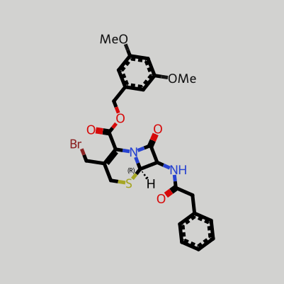 COc1cc(COC(=O)C2=C(CBr)CS[C@@H]3C(NC(=O)Cc4ccccc4)C(=O)N23)cc(OC)c1